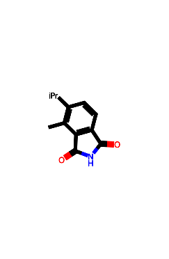 Cc1c(C(C)C)ccc2c1C(=O)NC2=O